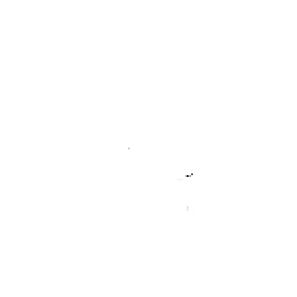 C=C1Cc2c(C)cccc2N1c1cccc2c1C1C[C@@H]1C(=O)N2